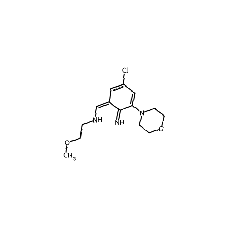 COCCN/C=C1/C=C(Cl)C=C(N2CCOCC2)C1=N